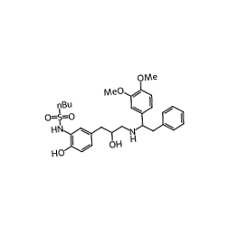 CCCCS(=O)(=O)Nc1cc(CC(O)CNC(Cc2ccccc2)c2ccc(OC)c(OC)c2)ccc1O